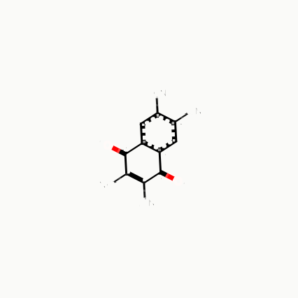 N#CC1=C(C#N)C(=O)c2cc(C#N)c(C#N)cc2C1=O